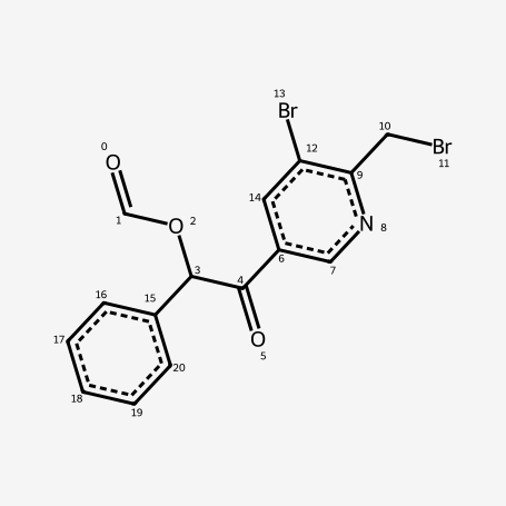 O=COC(C(=O)c1cnc(CBr)c(Br)c1)c1ccccc1